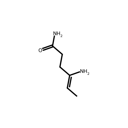 C/C=C(\N)CCC(N)=O